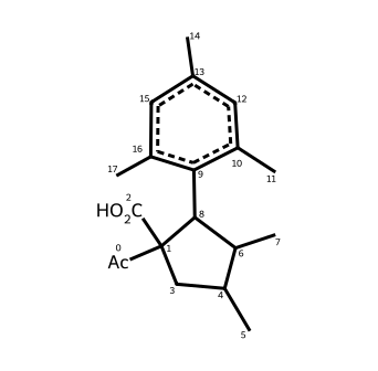 CC(=O)C1(C(=O)O)CC(C)C(C)C1c1c(C)cc(C)cc1C